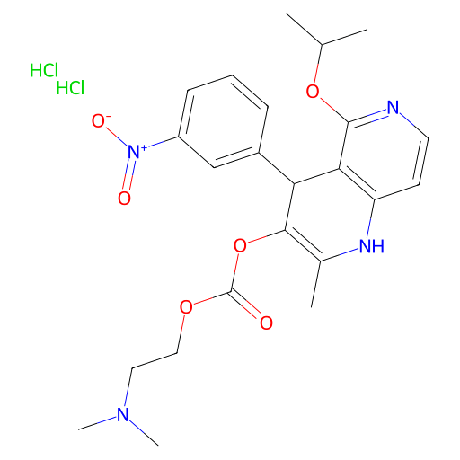 CC1=C(OC(=O)OCCN(C)C)C(c2cccc([N+](=O)[O-])c2)c2c(ccnc2OC(C)C)N1.Cl.Cl